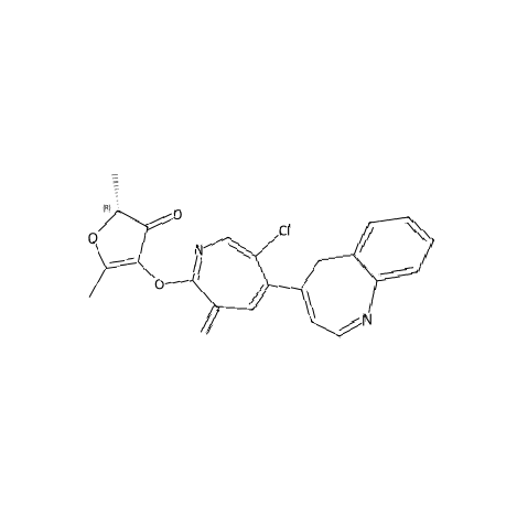 C=C1C=C(C2=CC=Nc3ccccc3C2)C(Cl)=CN=C1OC1=C(C)O[C@H](C)C1=O